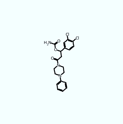 NC(=O)OC(CC(=O)N1CCN(c2ccccc2)CC1)c1ccc(Cl)c(Cl)c1